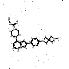 CCN1CC2(C1)CN(c1ccc(-c3cc4c(N5CCN(C(=O)OF)CC5)ccnn4c3)cc1)C2